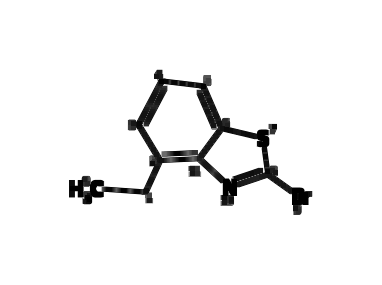 CCc1cccc2sc(Br)nc12